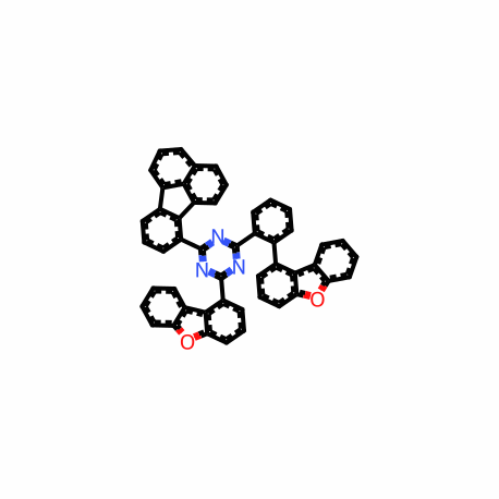 c1ccc(-c2cccc3oc4ccccc4c23)c(-c2nc(-c3cccc4c3-c3cccc5cccc-4c35)nc(-c3cccc4oc5ccccc5c34)n2)c1